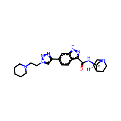 O=C(N[C@H]1CN2CCC1CC2)c1n[nH]c2cc(-c3cn(CCN4CCCCC4)nn3)ccc12